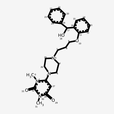 Cn1c(N2CCN(CCCOc3ccccc3C(O)c3ccccc3)CC2)cc(=O)n(C)c1=O